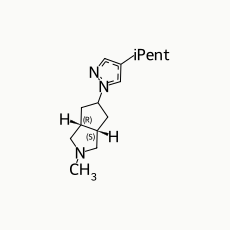 CCCC(C)c1cnn(C2C[C@@H]3CN(C)C[C@@H]3C2)c1